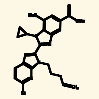 C=CCCCn1c(-c2nc3cc(C(=O)OC)cc(OC)c3n2C2CC2)cc2ccc(CC)nc21